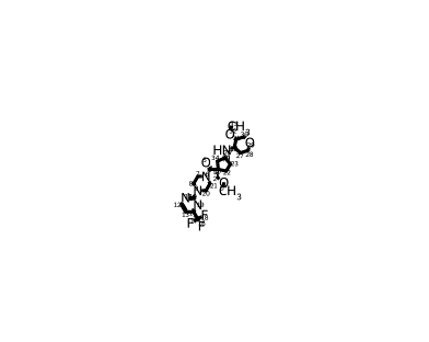 COC[C@]1(C(=O)N2CCN(c3nccc(C(F)(F)F)n3)CC2)CC[C@@H](N[C@@H]2CCOCC2OC)C1